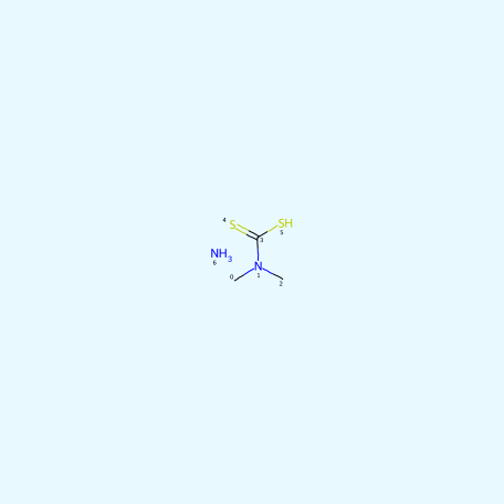 CN(C)C(=S)S.N